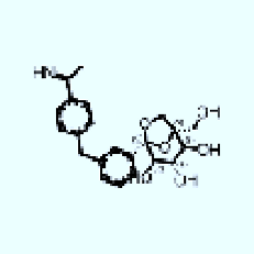 CC(=N)c1ccc(Cc2cccc([C@]34OC[C@](CO)(O3)[C@@H](O)[C@H](O)[C@H]4O)c2)cc1